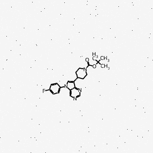 CC(C)(C)OC(=O)N1CCC(c2cn(-c3ccc(F)cc3)c3cncnc23)CC1